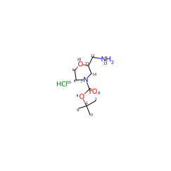 CC(C)(C)OC(=O)N1CCOC(CN)C1.Cl